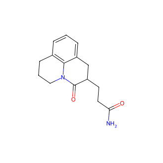 NC(=O)CCC1Cc2cccc3c2N(CCC3)C1=O